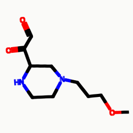 COCCCN1CCNC(C(=O)C=O)C1